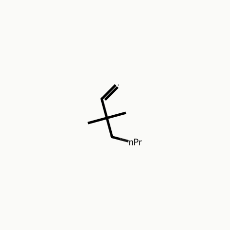 [CH]=CC(C)(C)CCCC